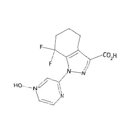 O=C(O)c1nn(-c2c[n+](O)ccn2)c2c1CCCC2(F)F